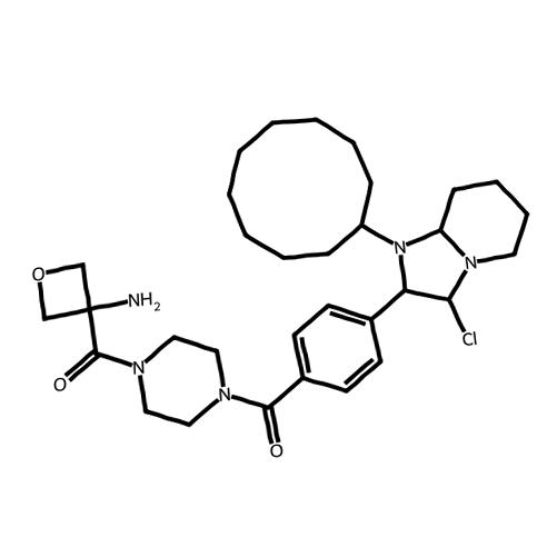 NC1(C(=O)N2CCN(C(=O)c3ccc(C4C(Cl)N5CCCCC5N4C4CCCCCCCCC4)cc3)CC2)COC1